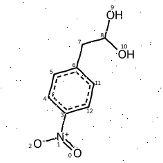 O=[N+]([O-])c1ccc(CC(O)O)cc1